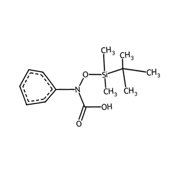 CC(C)(C)[Si](C)(C)ON(C(=O)O)c1ccccc1